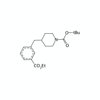 CCOC(=O)c1cccc(CC2CCN(C(=O)OC(C)(C)C)CC2)c1